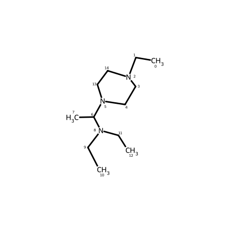 CCN1CCN(C(C)N(CC)CC)CC1